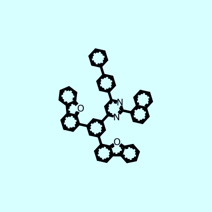 c1ccc(-c2ccc(-c3cc(-c4cc(-c5cccc6c5oc5ccccc56)cc(-c5cccc6c5oc5ccccc56)c4)nc(-c4cccc5ccccc45)n3)cc2)cc1